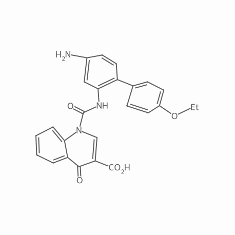 CCOc1ccc(-c2ccc(N)cc2NC(=O)n2cc(C(=O)O)c(=O)c3ccccc32)cc1